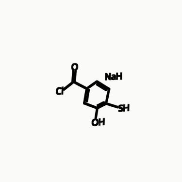 O=C(Cl)c1ccc(S)c(O)c1.[NaH]